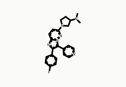 CN(C)C1CCN(c2ccc3nc(-c4ccc(F)cc4)c(-c4ccncc4)n3n2)C1